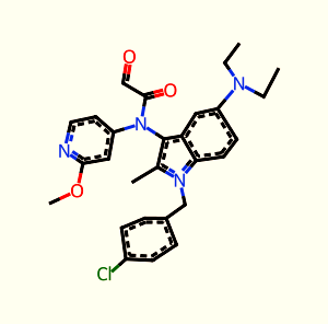 CCN(CC)c1ccc2c(c1)c(N(C(=O)C=O)c1ccnc(OC)c1)c(C)n2Cc1ccc(Cl)cc1